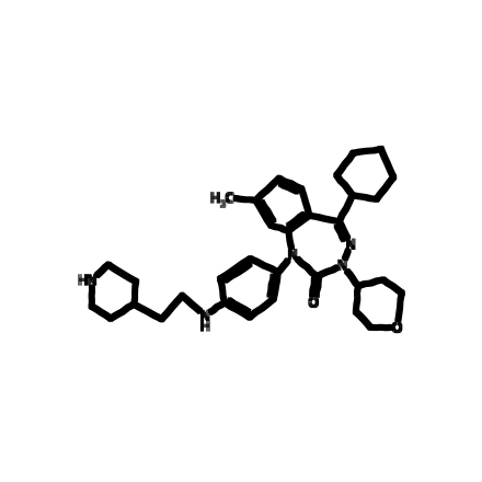 Cc1ccc2c(c1)N(c1ccc(NCCC3CCNCC3)cc1)C(=O)N(C1CCOCC1)N=C2C1CCCCC1